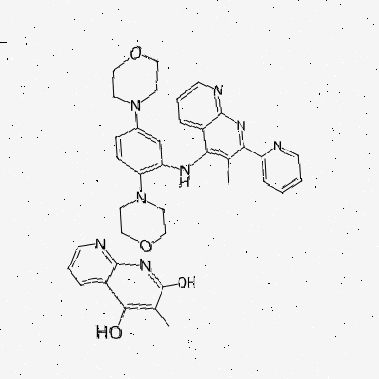 Cc1c(-c2ccccn2)nc2ncccc2c1Nc1cc(N2CCOCC2)ccc1N1CCOCC1.Cc1c(O)nc2ncccc2c1O